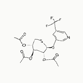 CC(=O)O[C@@H]1[C@@H](OC(C)=O)[C@H](OC(C)=O)CS[C@H]1Oc1cncc(C(F)(F)F)c1